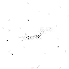 COc1ccc(-c2ccc3c(c2)ncn3-c2ccc3cc(N4CCC(N)CC4)ccc3n2)cn1